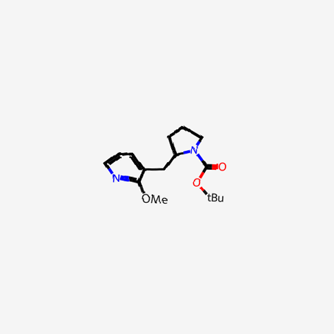 COc1ncccc1CC1CCCN1C(=O)OC(C)(C)C